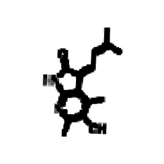 CC(C)=CC=C1C(=O)Nc2nc(C)c(O)c(C)c21